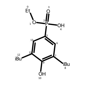 CCOP(=O)(O)c1cc(C(C)CC)c(O)c(C(C)CC)c1